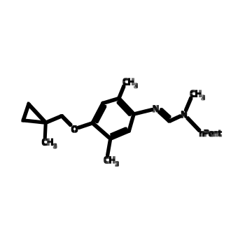 CCCCCN(C)C=Nc1cc(C)c(OCC2(C)CC2)cc1C